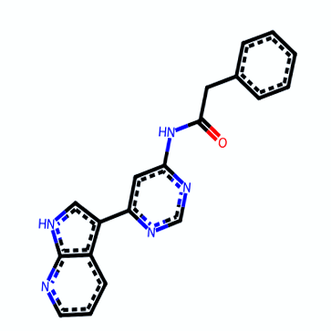 O=C(Cc1ccccc1)Nc1cc(-c2c[nH]c3ncccc23)ncn1